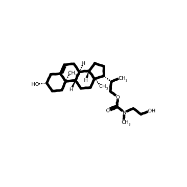 CC(COC(=O)N(C)CCO)[C@H]1CC[C@H]2[C@@H]3CC=C4C[C@@H](O)CC[C@]4(C)[C@H]3CC[C@]12C